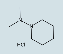 CN(C)N1CCCCC1.Cl